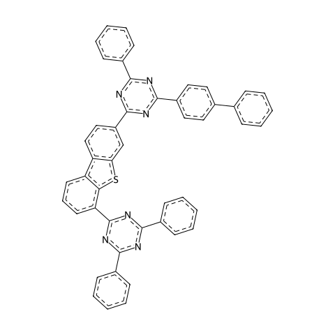 c1ccc(-c2ccc(-c3nc(-c4ccccc4)nc(-c4ccc5c(c4)sc4c(-c6nc(-c7ccccc7)nc(-c7ccccc7)n6)cccc45)n3)cc2)cc1